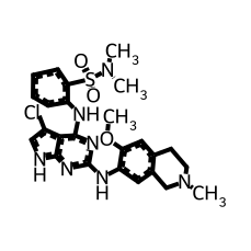 COc1cc2c(cc1Nc1nc(Nc3ccccc3S(=O)(=O)N(C)C)c3c(Cl)c[nH]c3n1)CN(C)CC2